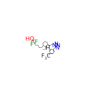 C[C@H](CCC(F)(F)C(C)(C)O)[C@H]1CC[C@H]2/C(=C/Cn3nnnc3-c3ccc(C(F)(F)F)cc3)CCC[C@]12C